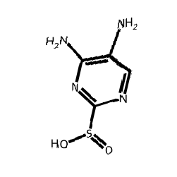 Nc1cnc(S(=O)O)nc1N